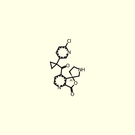 O=C1O[C@]2(CCNC2)c2c(C(=O)C3(c4ccc(Cl)nc4)CC3)ccnc21